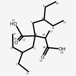 CCC(CC)CC(CC(CC)CC)(C(=O)O)C(C)C(=O)O